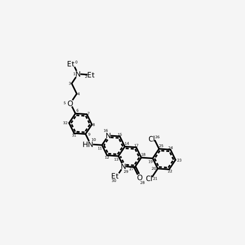 CCN(CC)CCOc1ccc(Nc2cc3c(cn2)cc(-c2c(Cl)cccc2Cl)c(=O)n3CC)cc1